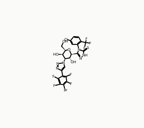 OC[C@H]1O[C@@H](c2n[nH]c(=S)n2-c2cc(Cl)ccc2C(F)(F)F)[C@H](O)[C@@H](n2cc(-c3c(F)c(F)c(Br)c(F)c3F)nn2)[C@H]1O